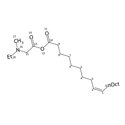 CCCCCCCC/C=C\CCCCCCCC(=O)OC(=O)CN(C)CC